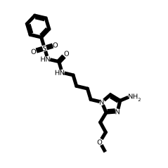 COCCc1nc(N)cn1CCCCNC(=O)NS(=O)(=O)c1ccccc1